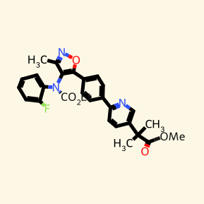 CCOC(=O)N(c1ccccc1F)c1c(C)noc1-c1ccc(-c2ccc(C(C)(C)C(=O)OC)cn2)cc1